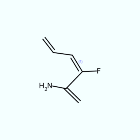 C=C/C=C(/F)C(=C)N